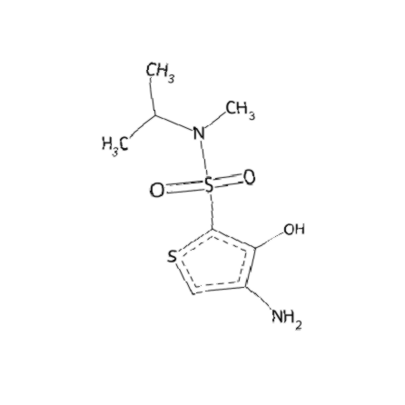 CC(C)N(C)S(=O)(=O)c1scc(N)c1O